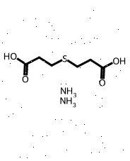 N.N.O=C(O)CCSCCC(=O)O